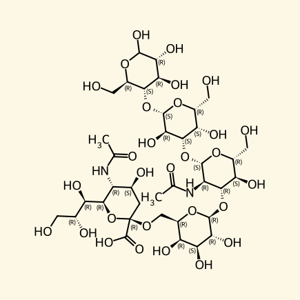 CC(=O)N[C@H]1[C@H](O[C@H]2[C@@H](O)[C@@H](CO)O[C@@H](O[C@H]3[C@H](O)[C@@H](O)C(O)O[C@@H]3CO)[C@@H]2O)O[C@H](CO)[C@@H](O)[C@@H]1O[C@@H]1O[C@H](CO[C@]2(C(=O)O)C[C@H](O)[C@@H](NC(C)=O)[C@H]([C@H](O)[C@H](O)CO)O2)[C@H](O)[C@H](O)[C@H]1O